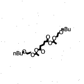 CCCCOCCOC(C)OC(=O)CCCC(=O)OC(C)OCCOCCCC